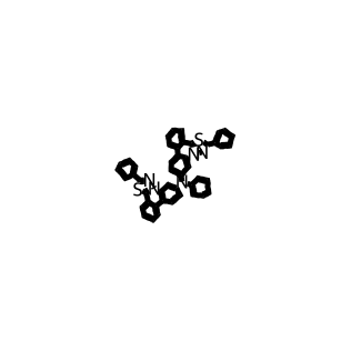 c1ccc(-c2nnc(-c3ccccc3-c3ccc(N(c4ccccc4)c4ccc(-c5ccccc5-c5nnc(-c6ccccc6)s5)cc4)cc3)s2)cc1